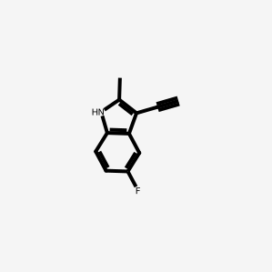 C#Cc1c(C)[nH]c2ccc(F)cc12